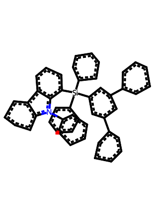 c1ccc(-c2cc(-c3ccccc3)cc([Si](c3ccccc3)(c3ccccc3)c3cccc4c5ccccc5n(-c5ccccc5)c34)c2)cc1